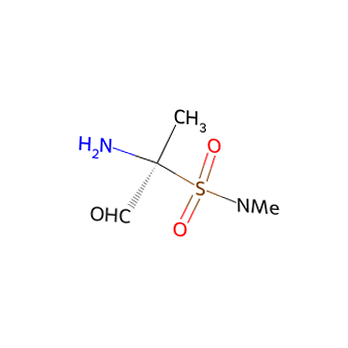 CNS(=O)(=O)[C@](C)(N)C=O